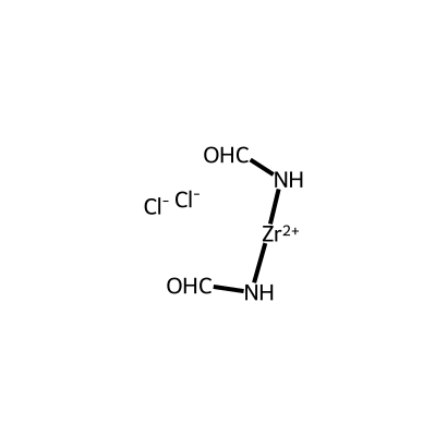 O=C[NH][Zr+2][NH]C=O.[Cl-].[Cl-]